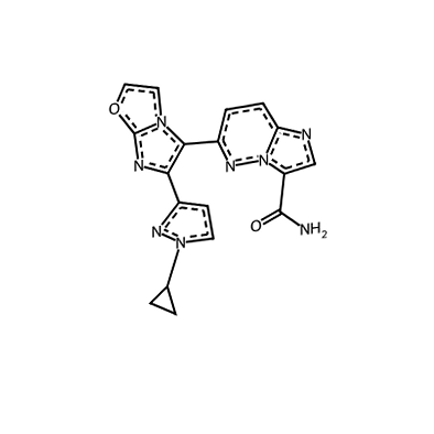 NC(=O)c1cnc2ccc(-c3c(-c4ccn(C5CC5)n4)nc4occn34)nn12